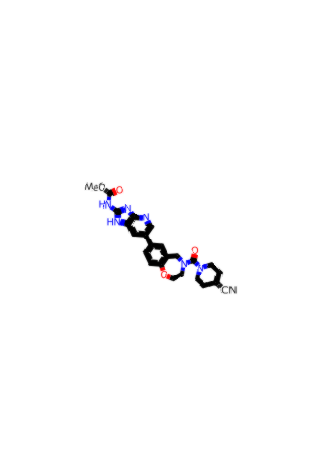 COC(=O)Nc1nc2ncc(-c3ccc4c(c3)CN(C(=O)N3CCC(C#N)CC3)CCO4)cc2[nH]1